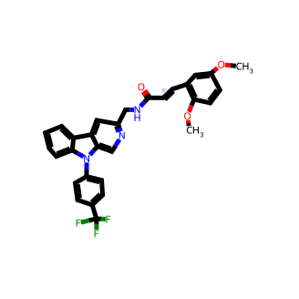 COc1ccc(OC)c(/C=C/C(=O)NCc2cc3c4ccccc4n(-c4ccc(C(F)(F)F)cc4)c3cn2)c1